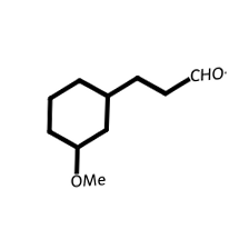 COC1CCCC(CC[C]=O)C1